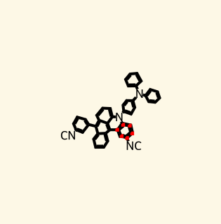 [C-]#[N+]c1cccc(-c2c3ccccc3c(-c3cccc([N+]#[C-])c3)c3c(N(c4ccccc4)c4ccc(N(c5ccccc5)c5ccccc5)cc4)cccc23)c1